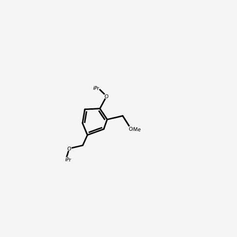 COCc1cc(COC(C)C)ccc1OC(C)C